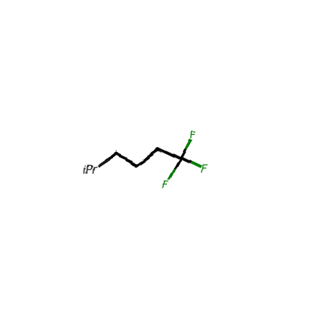 CC(C)[CH]CCC(F)(F)F